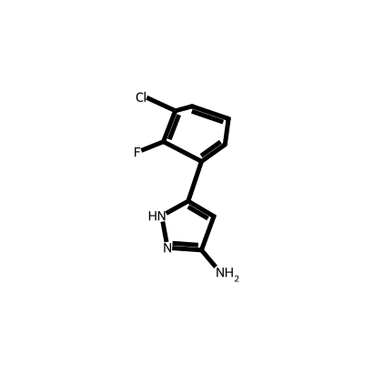 Nc1cc(-c2cccc(Cl)c2F)[nH]n1